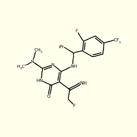 CC(C)C(Nc1nc(N(C)C)[nH]c(=O)c1C(=N)CF)c1ccc(C(F)(F)F)cc1F